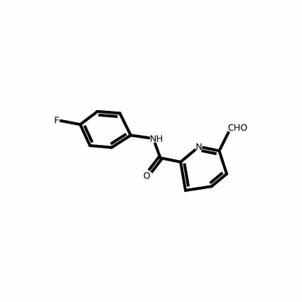 O=Cc1cccc(C(=O)Nc2ccc(F)cc2)n1